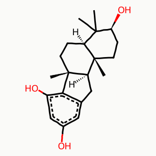 CC1(C)[C@@H](O)CC[C@]2(C)[C@H]3Cc4cc(O)cc(O)c4[C@]3(C)CC[C@@H]12